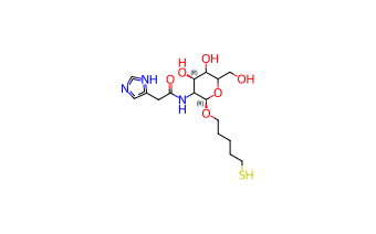 O=C(Cc1cnc[nH]1)NC1[C@H](OCCCCCS)OC(CO)C(O)[C@@H]1O